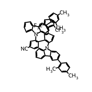 Cc1ccc(-c2ccc3c(c2)c2ccccc2n3-c2ccc(-c3c(C(F)(F)F)cccc3C(F)(F)F)cc2-c2ccc(C#N)cc2-n2c3ccccc3c3cc(-c4ccc(C)cc4C)ccc32)c(C)c1